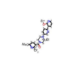 CCOc1ncccc1-c1ccc(N2CCN(C(=O)c3ccc(OC)nc3C(F)(F)F)C[C@H]2CC)[c]n1